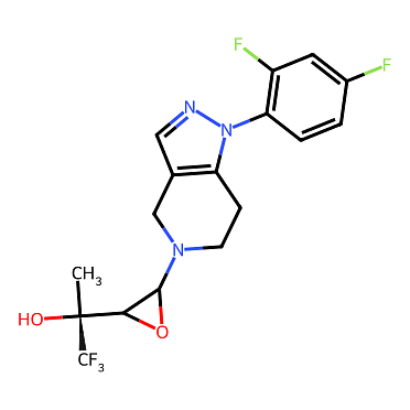 C[C@@](O)(C1OC1N1CCc2c(cnn2-c2ccc(F)cc2F)C1)C(F)(F)F